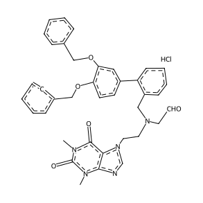 Cl.Cn1c(=O)c2c(ncn2CCN(CC=O)Cc2ccccc2-c2ccc(OCc3ccccc3)c(OCc3ccccc3)c2)n(C)c1=O